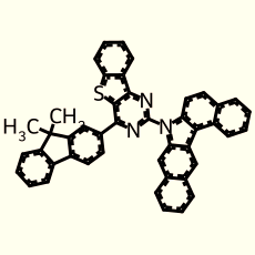 CC1(C)c2ccccc2-c2ccc(-c3nc(-n4c5cc6ccccc6cc5c5c6ccccc6ccc54)nc4c3sc3ccccc34)cc21